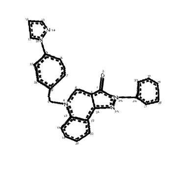 O=c1c2cn(Cc3ccc(-n4cccn4)cc3)c3ccccc3c-2nn1-c1ccccc1